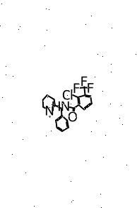 CN1CCCCC1C(NC(=O)c1cccc(C(F)(F)F)c1Cl)c1ccccc1